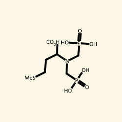 CSCCC(C(=O)O)N(CP(=O)(O)O)CP(=O)(O)O